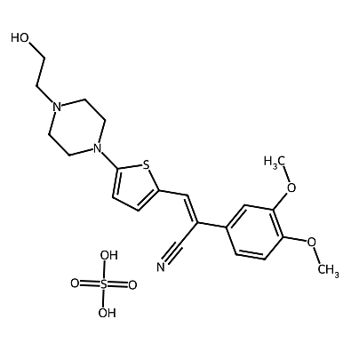 COc1ccc(C(C#N)=Cc2ccc(N3CCN(CCO)CC3)s2)cc1OC.O=S(=O)(O)O